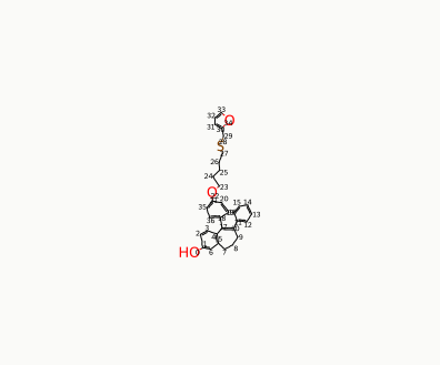 Oc1ccc2c(c1)CCCC(c1ccccc1)=C2c1ccc(OCCCCCSCc2ccco2)cc1